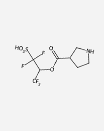 O=C(OC(C(F)(F)F)C(F)(F)S(=O)(=O)O)C1CCNC1